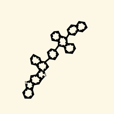 c1ccc2cc(-c3c4ccccc4c(-c4ccc(-c5cc6sc7cc8c(cc7c6c6ccccc56)sc5ccccc58)cc4)c4ccccc34)ccc2c1